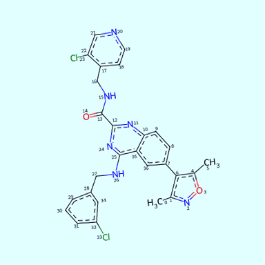 Cc1noc(C)c1-c1ccc2nc(C(=O)NCc3ccncc3Cl)nc(NCc3cccc(Cl)c3)c2c1